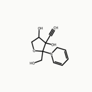 C#CC1(O)C(O)COC1(CO)N1C=CC=CC1